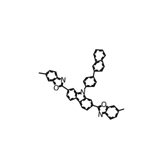 Cc1ccc2nc(-c3ccc4c5ccc(-c6nc7ccc(C)cc7o6)cc5n(-c5ccc(-c6ccc7ccccc7c6)cc5)c4c3)oc2c1